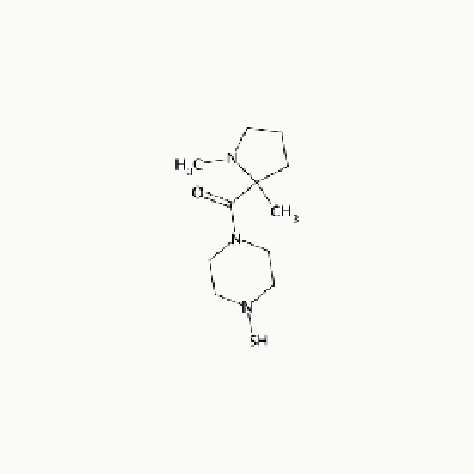 CN1CCCC1(C)C(=O)N1CCN(S)CC1